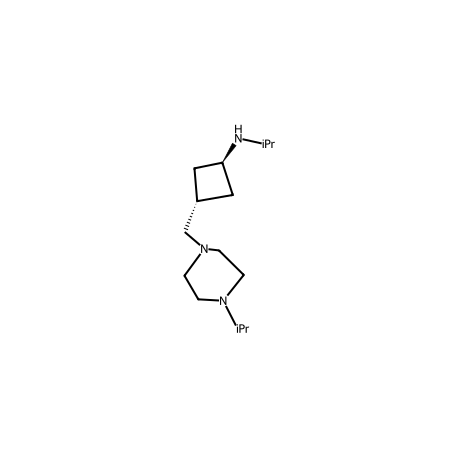 CC(C)N[C@H]1C[C@H](CN2CCN(C(C)C)CC2)C1